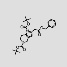 CC(C)(C)OC(=O)N1CCc2c(cc(CC(=O)OCc3ccccc3)n2C(=O)OC(C)(C)C)C1